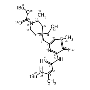 C/C(=C/C(=N)Nc1nc(C[C@@]2(CO)CCN(C(=O)OC(C)(C)C)[C@H](C)C2)cc(C)c1F)NC(C)(C)C